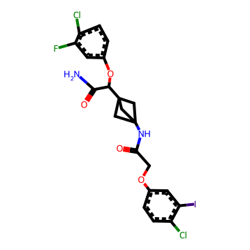 NC(=O)C(Oc1ccc(Cl)c(F)c1)C12CC(NC(=O)COc3ccc(Cl)c(I)c3)(C1)C2